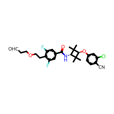 CC1(C)[C@H](NC(=O)c2cc(F)c(CCOCCC=O)c(F)c2)C(C)(C)[C@H]1Oc1ccc(C#N)c(Cl)c1